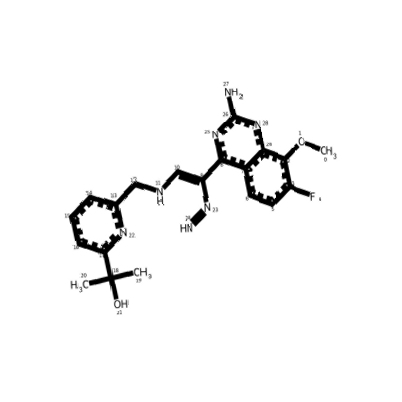 COc1c(F)ccc2c(/C(=C/NCc3cccc(C(C)(C)O)n3)N=N)nc(N)nc12